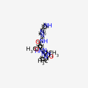 CCC1C(=O)N(C)c2cnc(Nc3ccc(C(=O)NCCN4CCN(CC5CCNCC5)CC4)cc3OC)nc2N1C1CCCC1